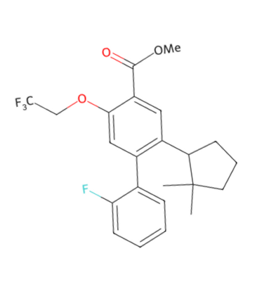 COC(=O)c1cc(C2CCCC2(C)C)c(-c2ccccc2F)cc1OCC(F)(F)F